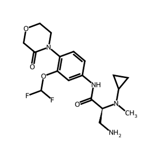 CN(C1CC1)[C@@H](CN)C(=O)Nc1ccc(N2CCOCC2=O)c(OC(F)F)c1